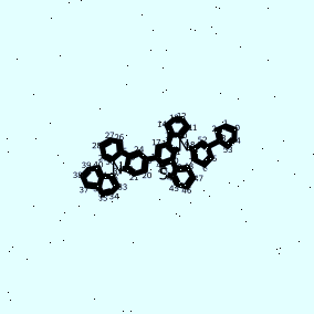 c1ccc(-c2cccc(-n3c4ccccc4c4cc(-c5ccc6c(c5)c5ccccc5n6-c5cccc6ccccc56)c5sc6ccccc6c5c43)c2)cc1